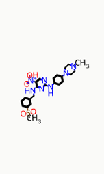 CN1CCN(c2ccc(Nc3ncc([N+](=O)O)c(NCc4cccc(S(C)(=O)=O)c4)n3)cc2)CC1